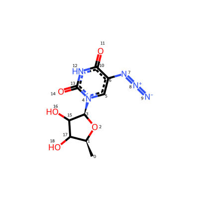 C[C@@H]1O[C@H](n2cc(N=[N+]=[N-])c(=O)[nH]c2=O)C(O)C1O